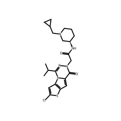 CC(C)c1nn(CC(=O)N[C@@H]2CCCN(CC3CC3)C2)c(=O)c2cc3sc(Cl)cc3n12